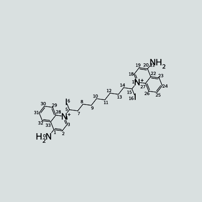 Nc1cc[n+](C(I)CCCCCCCCC(I)[n+]2ccc(N)c3ccccc32)c2ccccc12